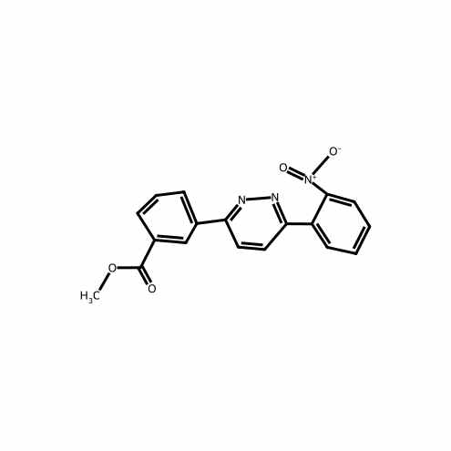 COC(=O)c1cccc(-c2ccc(-c3ccccc3[N+](=O)[O-])nn2)c1